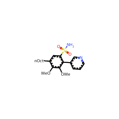 CCCCCCCCc1cc(S(N)(=O)=O)c(-c2cccnc2)c(OC)c1OC